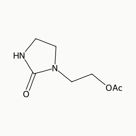 CC(=O)OCCN1CCNC1=O